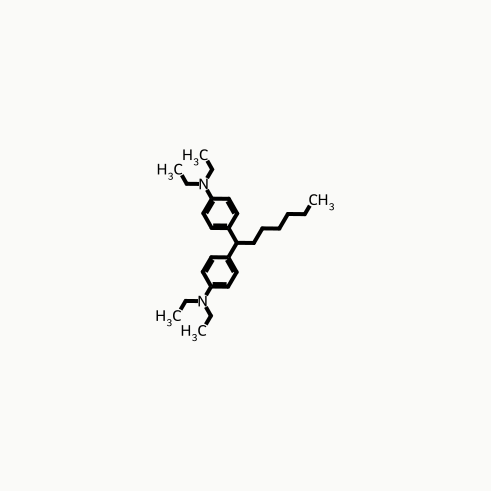 CCCCCCC(c1ccc(N(CC)CC)cc1)c1ccc(N(CC)CC)cc1